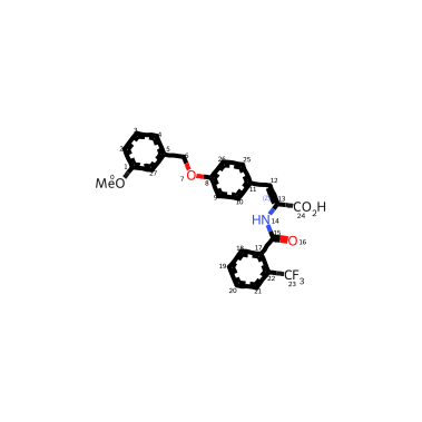 COc1cccc(COc2ccc(/C=C(\NC(=O)c3ccccc3C(F)(F)F)C(=O)O)cc2)c1